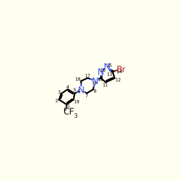 FC(F)(F)c1cccc(N2CCN(c3ccc(Br)nn3)CC2)c1